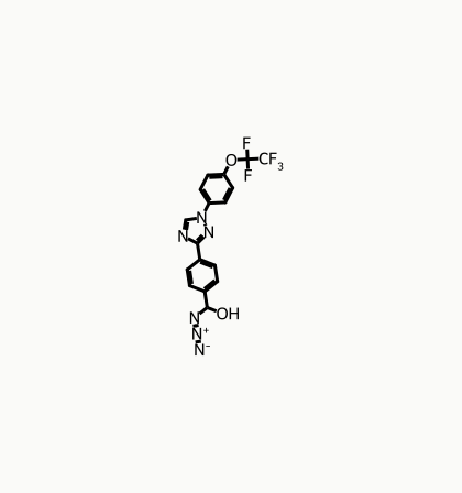 [N-]=[N+]=NC(O)c1ccc(-c2ncn(-c3ccc(OC(F)(F)C(F)(F)F)cc3)n2)cc1